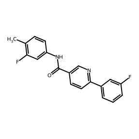 Cc1ccc(NC(=O)c2ccc(-c3cccc(F)c3)nc2)cc1F